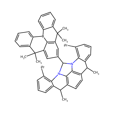 CC(C)c1cccc2c1N1c3c(ccc4c3N(c3c(C(C)C)cccc3C4C)C1c1cc3c4c(c1)C(C)(C)c1ccccc1B4c1ccccc1C3(C)C)C2C